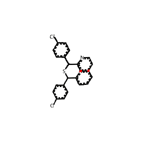 Clc1ccc(C(SC(c2ccc(Cl)cc2)c2ccccn2)c2ccccn2)cc1